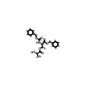 CCCC(CCC)C(=O)O[C@H](C)[C@H](NC(=O)OCc1ccccc1)C(=O)OCc1ccccc1